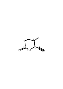 C#CC1OS(=O)CCC1C